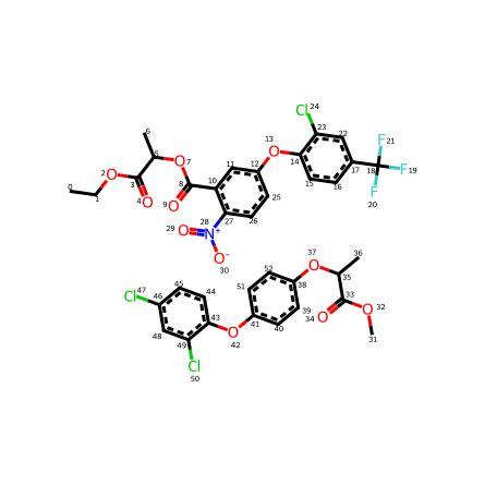 CCOC(=O)C(C)OC(=O)c1cc(Oc2ccc(C(F)(F)F)cc2Cl)ccc1[N+](=O)[O-].COC(=O)C(C)Oc1ccc(Oc2ccc(Cl)cc2Cl)cc1